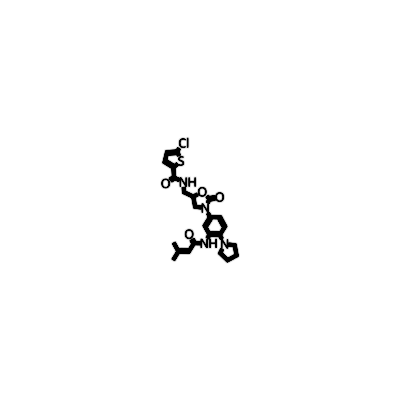 CC(C)=CC(=O)Nc1cc(N2CC(CNC(=O)c3ccc(Cl)s3)OC2=O)ccc1N1CCCC1